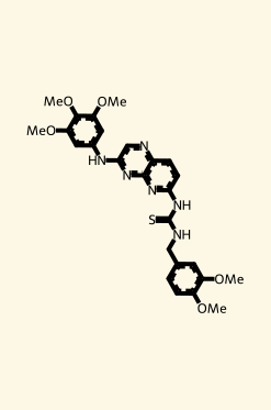 COc1ccc(CNC(=S)Nc2ccc3ncc(Nc4cc(OC)c(OC)c(OC)c4)nc3n2)cc1OC